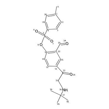 Cc1ccc(S(=O)(=O)Oc2ccc(C(=O)CNC(C)(C)C)cc2C=O)cc1